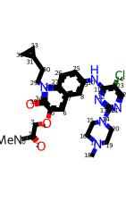 CNC(=O)COc1cc2cc(Nc3nc(N4CCN(C)CC4)ncc3Cl)ccc2n(CCC2CC2)c1=O